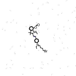 CCN(CCCCBr)c1ccc(/C=C/C2=[N+](CC)c3c(OC=O)cccc3C2(C)C)cc1